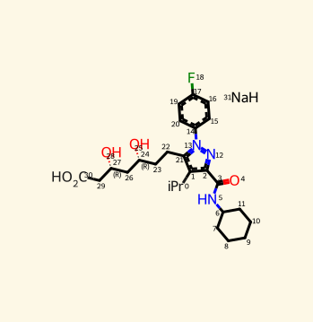 CC(C)c1c(C(=O)NC2CCCCC2)nn(-c2ccc(F)cc2)c1CC[C@@H](O)C[C@@H](O)CC(=O)O.[NaH]